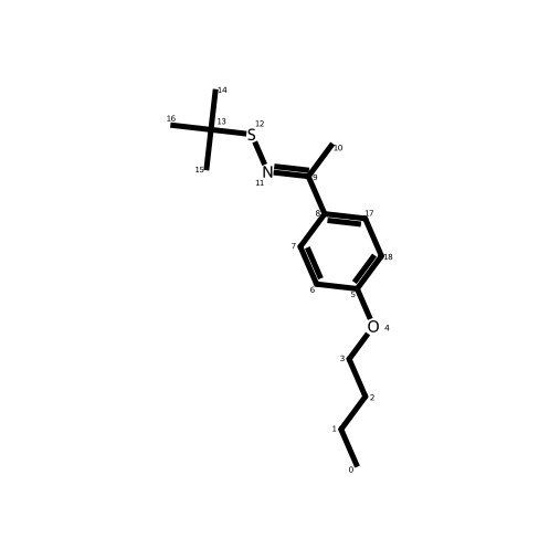 CCCCOc1ccc(C(C)=NSC(C)(C)C)cc1